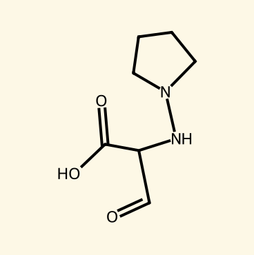 O=CC(NN1CCCC1)C(=O)O